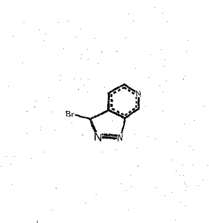 BrC1N=Nc2cnccc21